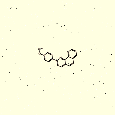 CCCOc1ccc(-c2ccc3ccc4cccnc4c3n2)cc1